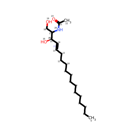 CCCCCCCCCCCCC/C=C/[C@@H](O)C(CO)NC(C)=O